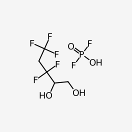 O=P(O)(F)F.OCC(O)C(F)(F)CC(F)(F)F